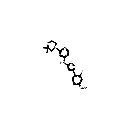 COc1ccc(-c2cc(Nc3ccnc(N4CCOC(C)(C)C4)n3)on2)c(F)c1